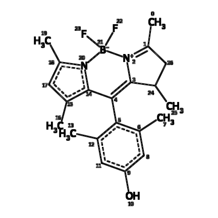 CC1=[N+]2C(=C(c3c(C)cc(O)cc3C)c3c(C)cc(C)n3[B-]2(F)F)C(C)C1